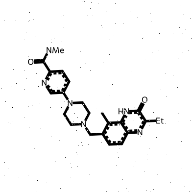 CCc1nc2ccc(CN3CCN(c4ccc(C(=O)NC)nc4)CC3)c(C)c2[nH]c1=O